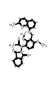 COc1ccc(N(C(C)=O)N2C(=O)c3ccccc3C2=O)c(OC)c1COc1cccc2ccc(C)nc12